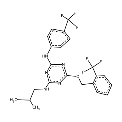 CC(C)CNc1nc(Nc2ccc(C(F)(F)F)cc2)nc(OCc2ccccc2C(F)(F)F)n1